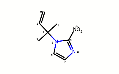 C=CC(C)(C)n1ccnc1[N+](=O)[O-]